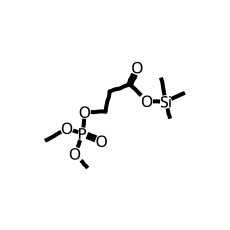 COP(=O)(OC)OCCC(=O)O[Si](C)(C)C